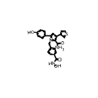 NC(=O)c1c(-c2ccsc2)cc(-c2ccc(O)cc2)n1Cc1ccc(C(=O)NO)cc1